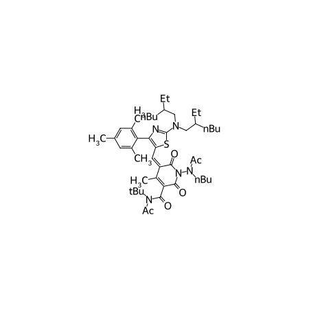 CCCCC(CC)CN(CC(CC)CCCC)c1nc(-c2c(C)cc(C)cc2C)c(/C=C2\C(=O)N(N(CCCC)C(C)=O)C(=O)C(C(=O)N(C(C)=O)C(C)(C)C)=C2C)s1